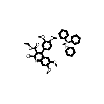 CCOC(=O)c1c(Cl)nc2cc(OC)c(OC)cc2c1-c1ccc(OC)c(OC)c1.C[PH](c1ccccc1)(c1ccccc1)c1ccccc1